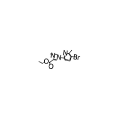 CCOC(=O)C1=CN(c2ccc(Br)c(C)n2)CN1C